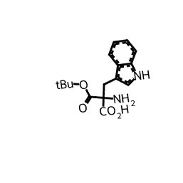 CC(C)(C)OC(=O)C(N)(Cc1c[nH]c2ccccc12)C(=O)O